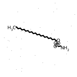 CCCCCCCCCCCCCCCCCCCCCCC(=O)OS(=O)(=O)CCN